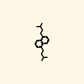 CC(C)CCc1cccc2c(CCC(C)C)cccc12